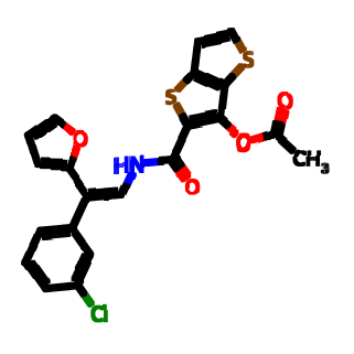 CC(=O)Oc1c(C(=O)NC=C(c2cccc(Cl)c2)c2ccco2)sc2ccsc12